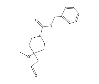 COC1(CC=O)CCN(C(=O)OCc2ccccc2)CC1